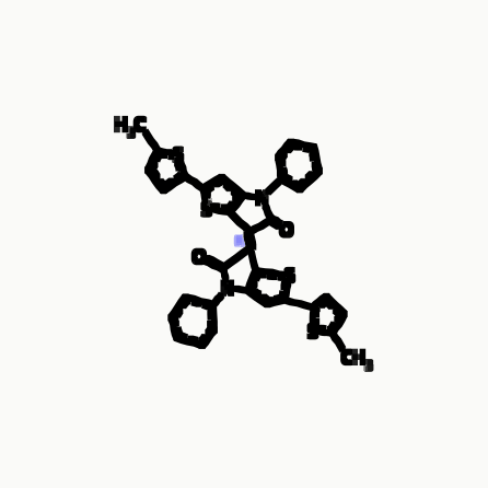 Cc1ccc(-c2cc3c(s2)/C(=C2\C(=O)N(c4ccccc4)c4cc(-c5ccc(C)s5)sc42)C(=O)N3c2ccccc2)s1